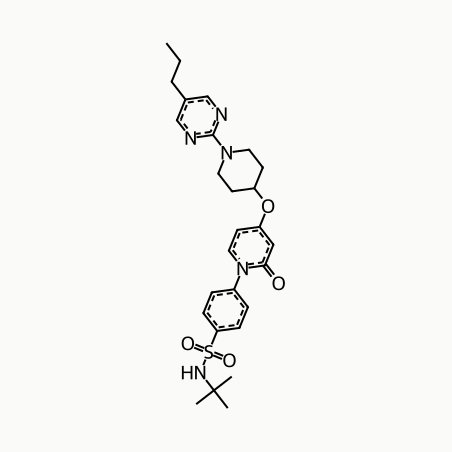 CCCc1cnc(N2CCC(Oc3ccn(-c4ccc(S(=O)(=O)NC(C)(C)C)cc4)c(=O)c3)CC2)nc1